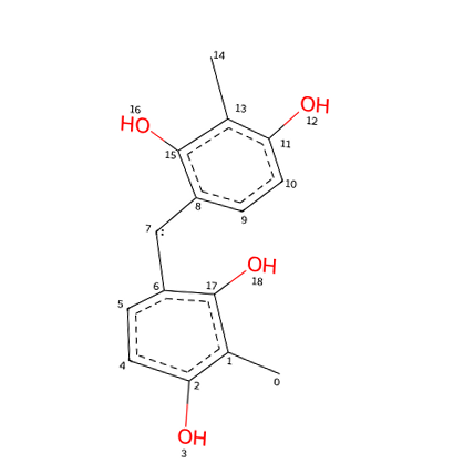 Cc1c(O)ccc([C]c2ccc(O)c(C)c2O)c1O